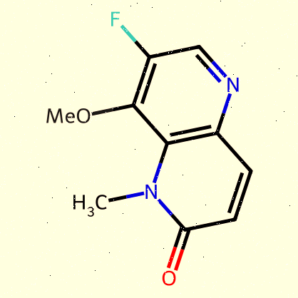 COc1c(F)cnc2ccc(=O)n(C)c12